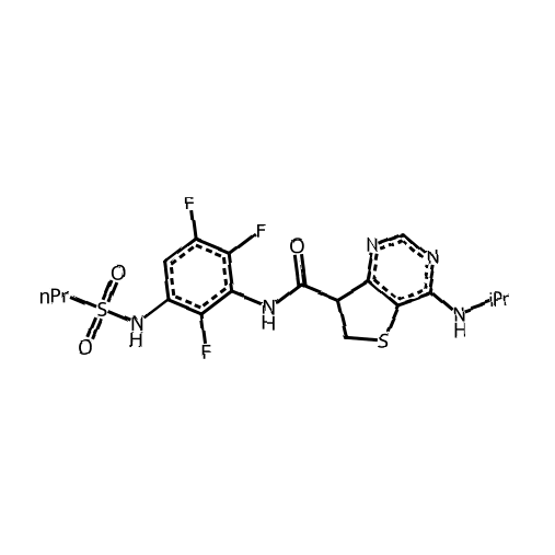 CCCS(=O)(=O)Nc1cc(F)c(F)c(NC(=O)C2CSc3c(NC(C)C)ncnc32)c1F